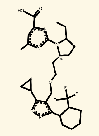 CCC1CC[C@@H](CCOCc2c(C3CCCCC3C(F)(F)F)noc2C2CC2)N1c1nc(C)cc(C(=O)O)n1